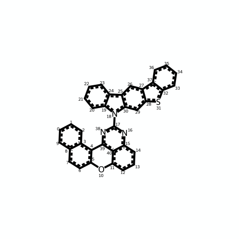 c1ccc2c3c(ccc2c1)Oc1cccc2nc(-n4c5ccccc5c5cc6c(cc54)sc4ccccc46)nc-3c12